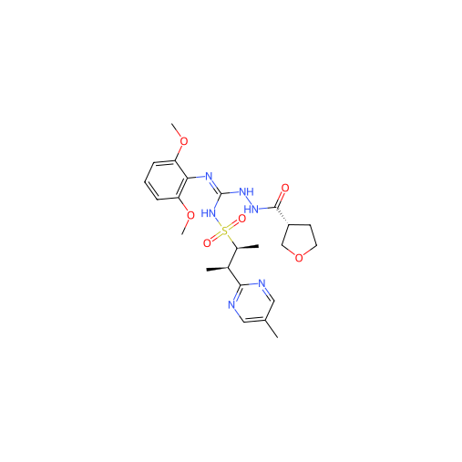 COc1cccc(OC)c1/N=C(/NNC(=O)[C@@H]1CCOC1)NS(=O)(=O)[C@@H](C)[C@H](C)c1ncc(C)cn1